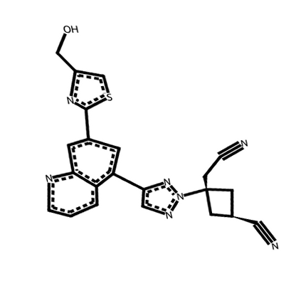 N#CC[C@]1(n2ncc(-c3cc(-c4nc(CO)cs4)cc4ncccc34)n2)C[C@H](C#N)C1